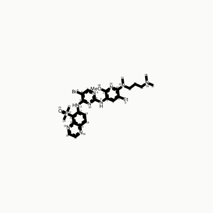 CCc1cc(Nc2ncc(Br)c(Nc3ccc4nccnc4c3P(C)(C)=O)n2)c(OC)nc1N(C)CCCN(C)C